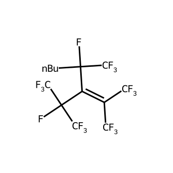 CCCCC(F)(C(=C(C(F)(F)F)C(F)(F)F)C(F)(C(F)(F)F)C(F)(F)F)C(F)(F)F